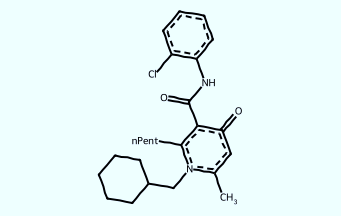 CCCCCc1c(C(=O)Nc2ccccc2Cl)c(=O)cc(C)n1CC1CCCCC1